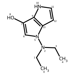 CCN(CC)n1cc(O)c2[nH]ccc21